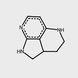 c1cc2c3c(n1)NCC3CCN2